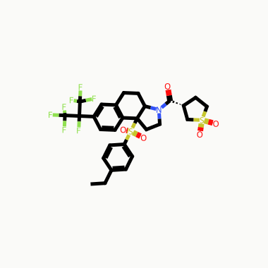 CCc1ccc(S(=O)(=O)C23CCN(C(=O)[C@@H]4CCS(=O)(=O)C4)C2CCc2cc(C(F)(C(F)(F)F)C(F)(F)F)ccc23)cc1